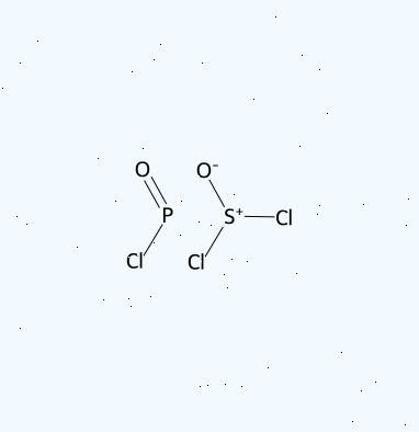 O=PCl.[O-][S+](Cl)Cl